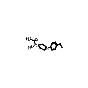 NC(=O)N(O)[C@@H]1CC[C@@H](c2ccc(CF)cc2)C1